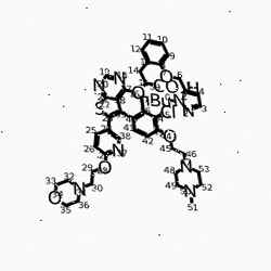 CCCCn1nccc1COc1ccccc1CC(Oc1ncnc2sc(-c3ccc(OCCN4CCOCC4)nc3)c(-c3ccc(OCCN4CCN(C)CC4)c(Cl)c3C)c12)C(=O)O